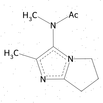 CC(=O)N(C)c1c(C)nc2n1CCC2